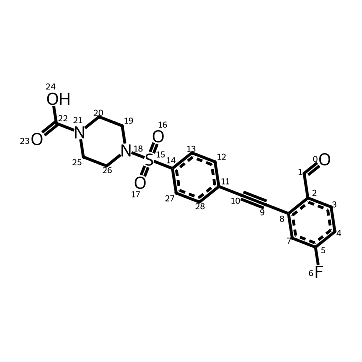 O=Cc1ccc(F)cc1C#Cc1ccc(S(=O)(=O)N2CCN(C(=O)O)CC2)cc1